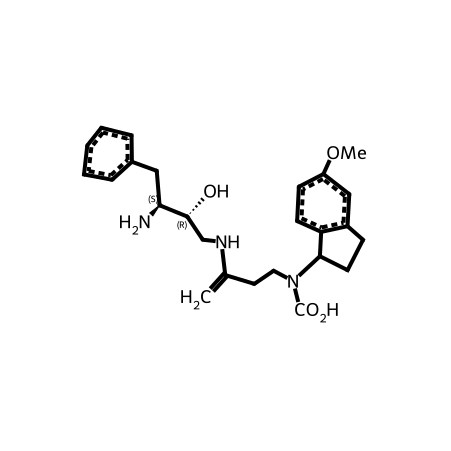 C=C(CCN(C(=O)O)C1CCc2cc(OC)ccc21)NC[C@@H](O)[C@@H](N)Cc1ccccc1